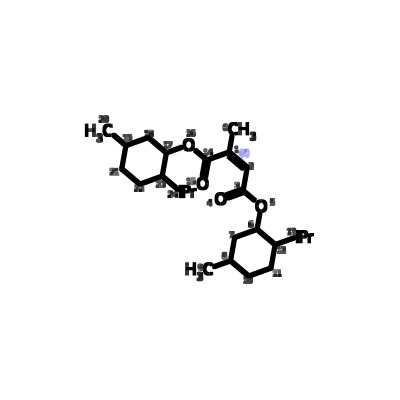 C/C(=C/C(=O)OC1CC(C)CCC1C(C)C)C(=O)OC1CC(C)CCC1C(C)C